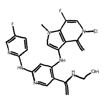 C=C(NCO)c1cnc(Nc2ccc(F)cn2)cc1Nc1cn(C)c2c1C(=C)N(CC)C=C2F